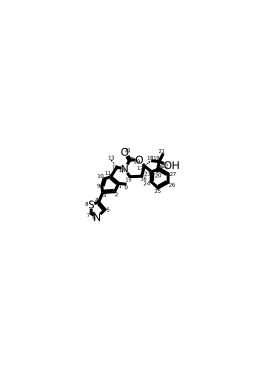 Cc1cc(-c2cncs2)ccc1[C@H](C)N1CC[C@](CC(C)(C)O)(c2ccccc2)OC1=O